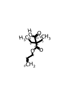 C=CCOC(=O)C(CC)(CC)C(=O)O